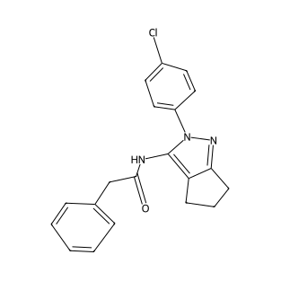 O=C(Cc1ccccc1)Nc1c2c(nn1-c1ccc(Cl)cc1)CCC2